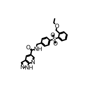 CCOCc1ccccc1S(=O)(=O)c1ccc(CNC(=O)c2cnc3[nH]ncc3c2)cc1